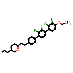 CCCC1CCC(CCc2ccc(-c3ccc(-c4ccc(OCC)c(F)c4F)c(F)c3F)cc2)OC1